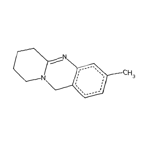 Cc1ccc2c(c1)N=C1CCCCN1C2